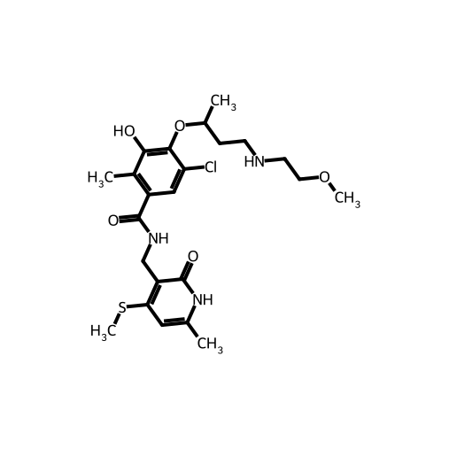 COCCNCCC(C)Oc1c(Cl)cc(C(=O)NCc2c(SC)cc(C)[nH]c2=O)c(C)c1O